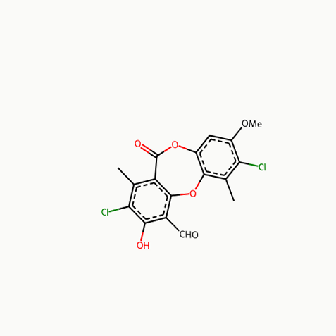 COc1cc2c(c(C)c1Cl)Oc1c(C=O)c(O)c(Cl)c(C)c1C(=O)O2